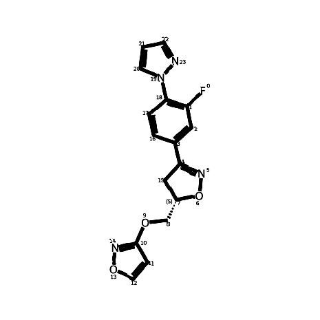 Fc1cc(C2=NO[C@H](COc3ccon3)C2)ccc1-n1cccn1